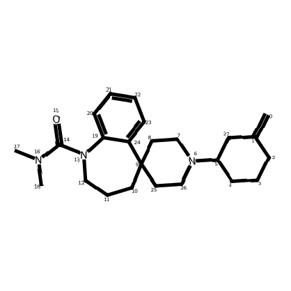 C=C1CCCC(N2CCC3(CCCN(C(=O)N(C)C)c4ccccc43)CC2)C1